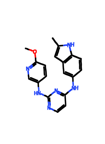 COc1ccc(Nc2nccc(Nc3ccc4[nH]c(C)cc4c3)n2)cn1